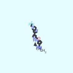 C=N/N=C(/c1cccc(NC(=O)c2cc(-c3cnc4c(c3)CN(CC(F)(F)F)CC4)ccn2)c1)N(C)C1CC1